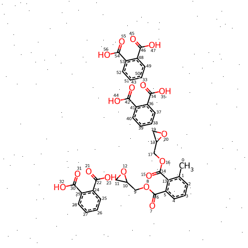 Cc1cccc(C(=O)OCC2CO2)c1C(=O)OCC1CO1.O=C(O)c1ccccc1C(=O)O.O=C(O)c1ccccc1C(=O)O.O=C(O)c1ccccc1C(=O)O